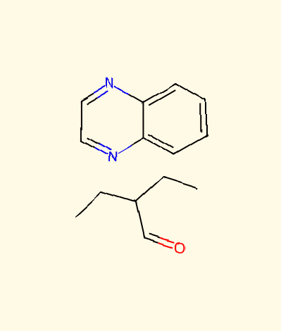 CCC(C=O)CC.c1ccc2nccnc2c1